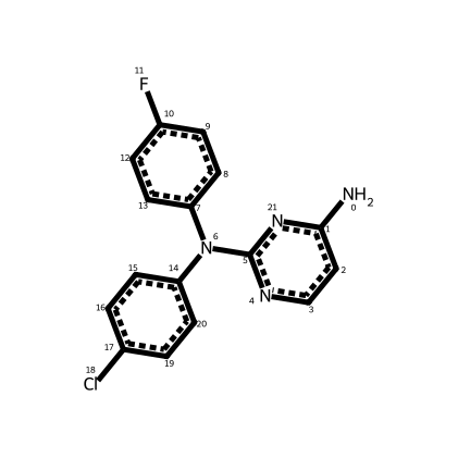 Nc1ccnc(N(c2ccc(F)cc2)c2ccc(Cl)cc2)n1